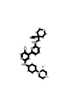 C[C@@H]1COCCN1C1CCC(Nc2cc(-c3cccc(NCC4(C#N)CCOCC4)n3)c(Cl)cn2)CC1